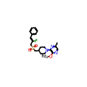 Cc1cnc(OC(C)(C)C)c(N2CCC(CS(=O)(=O)CC(F)=Cc3ccccc3)CC2)n1